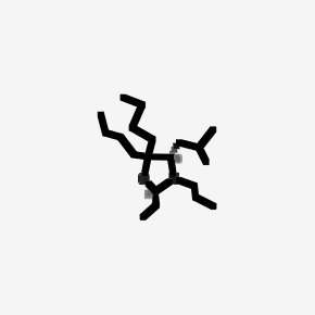 CCCCC1(CCCC)O[C@H](CC)N(CCC)[C@H]1CC(C)C